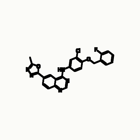 Cc1nnc(-c2ccc3ncnc(Nc4ccc(OCc5ccccc5F)c(Cl)c4)c3c2)o1